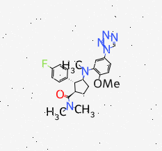 COc1ccc(-n2cnnn2)cc1N(C)[C@H]1CC[C@@H](C(=O)N(C)C)[C@@H]1c1ccc(F)cc1